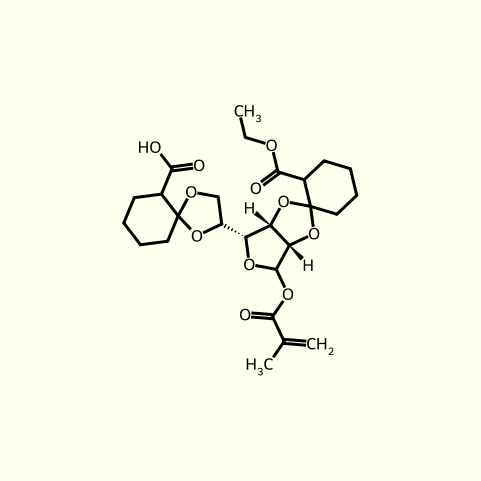 C=C(C)C(=O)OC1O[C@H](C2COC3(CCCCC3C(=O)O)O2)[C@@H]2OC3(CCCCC3C(=O)OCC)O[C@H]12